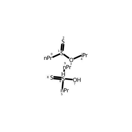 CCCS(=S)OC(C)C.CCC[SH](O)(=S)CCC